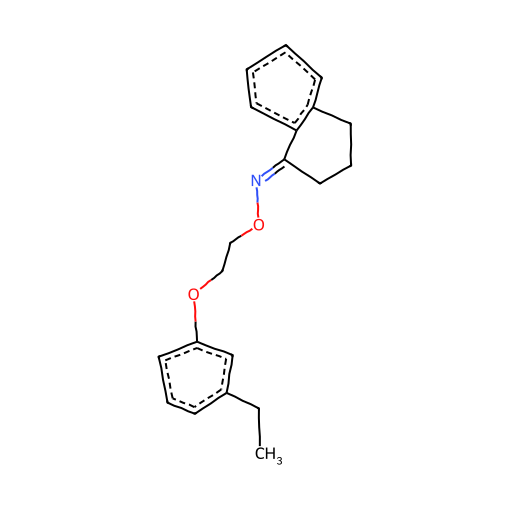 CCc1cccc(OCCON=C2CCCc3ccccc32)c1